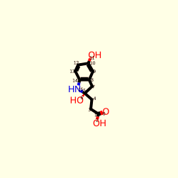 O=C(O)CC[C@@]1(O)Cc2cc(O)ccc2N1